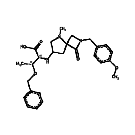 COc1ccc(CN2CC3(CC(N[C@H](C(=O)O)[C@@H](C)OCc4ccccc4)CN3C)C2=O)cc1